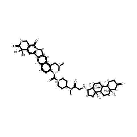 CC[C@@]1(O)C(=O)OCc2c1cc1n(c2=O)Cc2cc3c(CN(C)C)c(OC(=O)N4CCC(N(C)C(=O)CO[C@H]5CC[C@H]6[C@@H]7CC[C@H]8CC(=O)CC[C@]8(C)[C@H]7CC[C@]56C)CC4)ccc3nc2-1